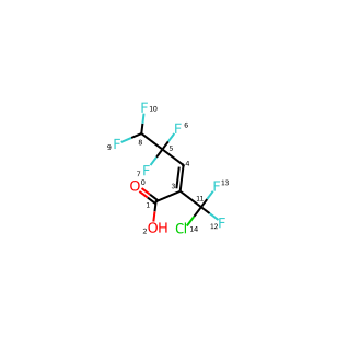 O=C(O)C(=CC(F)(F)C(F)F)C(F)(F)Cl